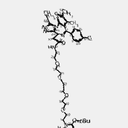 Cc1sc2c(c1C)C(c1ccc(Cl)cc1)=NC(CC(=O)NCCOCCOCCOCCOCCN(C)C(=O)OC(C)(C)C)c1nnc(C)n1-2